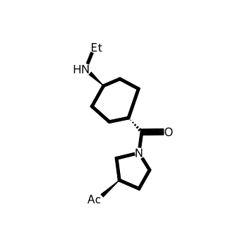 CCN[C@H]1CC[C@H](C(=O)N2CC[C@@H](C(C)=O)C2)CC1